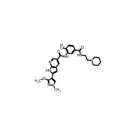 COc1nn(C)cc1-c1cc2cc(C(=O)Nc3cc(C(=O)NCCN4CCCCC4)ccc3C)cnc2[nH]1